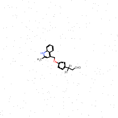 CCC(CC)(CC=O)c1ccc(OCC2=C3C=CC=CC3NC(C)=C2)cc1